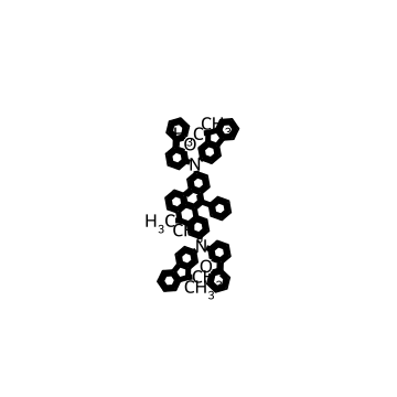 CC1(C)c2ccccc2-c2ccc(N(c3ccc4c(c3)C(C)(C)c3cccc5c3c-4c(-c3ccccc3)c3ccc(N(c4ccc6c(c4)C(C)(C)c4ccccc4-6)c4cccc6c4oc4ccccc46)cc35)c3cccc4c3oc3ccccc34)cc21